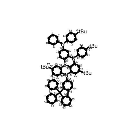 CC(C)(C)c1ccc(N(c2ccccc2)c2ccc3c(c2)N(c2ccc(C(C)(C)C)cc2)c2cc(C(C)(C)C)cc4c2B3c2cc(C(C)(C)C)ccc2N4c2ccc3c(c2)C(c2ccccc2)(c2ccccc2)c2ccccc2-3)cc1